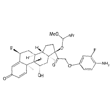 CCCC(OC)O[C@]1(C(=O)COc2ccc(N)c(F)c2)CC[C@H]2[C@@H]3C[C@H](F)C4=CC(=O)C=C[C@]4(C)[C@@]3(F)[C@@H](O)C[C@@]21C